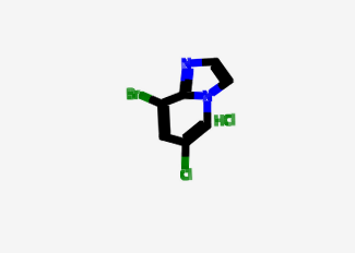 Cl.Clc1cc(Br)c2nccn2c1